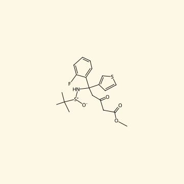 COC(=O)CC(=O)CC(N[S+]([O-])C(C)(C)C)(c1ccsc1)c1ccccc1F